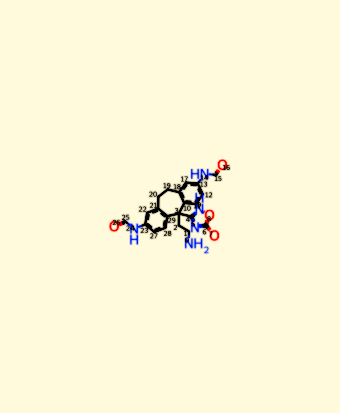 NCCC1(c2nc(=O)o[nH]2)c2ccc(NC=O)cc2CCc2cc(NC=O)ccc21